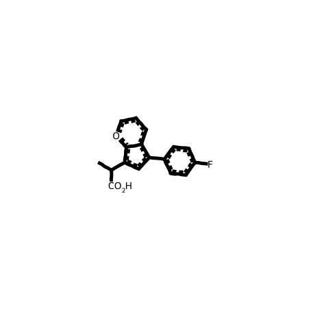 CC(C(=O)O)c1cc(-c2ccc(F)cc2)c2cccoc1-2